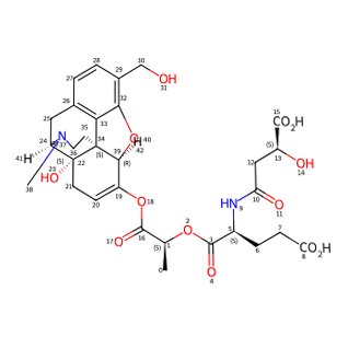 C[C@H](OC(=O)[C@H](CCC(=O)O)NC(=O)C[C@H](O)C(=O)O)C(=O)OC1=CC[C@@]2(O)[C@H]3Cc4ccc(CO)c5c4[C@@]2(CCN3C)[C@H]1O5